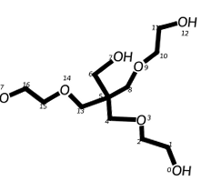 OCCOCC(CO)(COCCO)COCCO